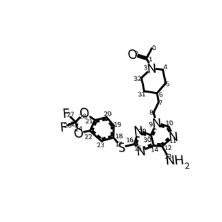 CC(=O)N1CCC(CCn2cnc(N)c3nc(Sc4ccc5c(c4)OC(F)(F)O5)nc2-3)CC1